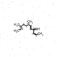 C=NN(C)CCN(C)/C=C/C(=N)/C=C\C